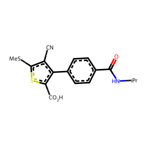 CSc1sc(C(=O)O)c(-c2ccc(C(=O)NC(C)C)cc2)c1C#N